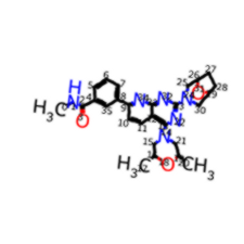 CNC(=O)c1cccc(-c2ccc3c(N4CC(C)OC(C)C4)nc(N4CC5CCC(C4)O5)nc3n2)c1